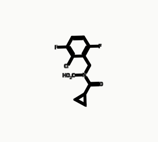 O=C(O)N(Cc1c(F)ccc(F)c1Cl)C(=O)C1CC1